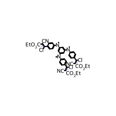 CCOC(=O)/C(C#N)=C(\Cl)c1ccc(N(C)c2cc(N(C)c3ccc(/C(Cl)=C(\C#N)C(=O)OCC)cc3)cc(N(C)c3ccc(/C(Cl)=C(\C#N)C(=O)OCC)cc3)c2)cc1